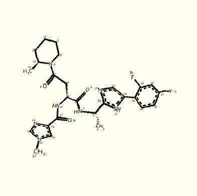 C[C@H](NC(=O)[C@H](CC(=O)N1CCCC[C@@H]1C)NC(=O)c1cn(C)cn1)c1ncc(-c2ccc(F)cc2F)[nH]1